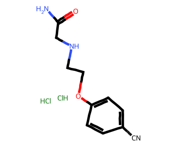 Cl.Cl.N#Cc1ccc(OCCNCC(N)=O)cc1